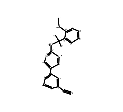 C#Cc1cccc(-c2cnc(NC(C)(C)c3ccccc3SC)nc2)c1